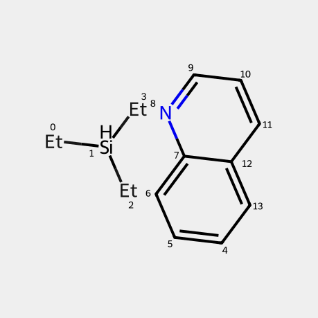 CC[SiH](CC)CC.c1ccc2ncccc2c1